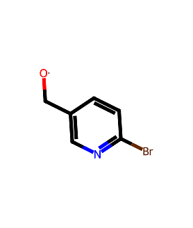 [O]Cc1ccc(Br)nc1